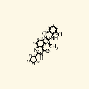 Cn1c(Nc2c(Cl)cccc2Cl)nc2ccc3nc(C4CCCC4)[nH]c(=O)c3c21